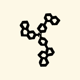 c1ccc2c(-c3ccc(N(c4ccc(-c5cccc6c5ccc5ccccc56)cc4)c4ccc5ccc6ccccc6c5c4)cc3)cccc2c1